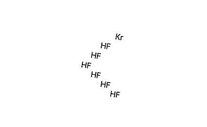 F.F.F.F.F.F.[Kr]